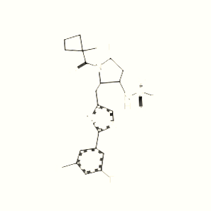 CCS(=O)(=O)NC1CCN(C(=O)C2(C)CCC2)C1Cc1csc(-c2cc(F)cc(F)c2)n1